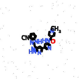 [C-]#[N+]c1cccc2[nH]c(-c3n[nH]c4ncc(-c5cncc(NC(=O)C6CCN(C)CC6)c5)cc34)nc12